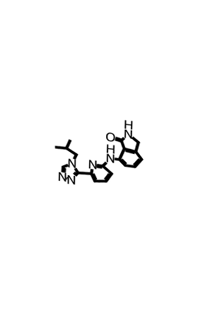 CC(C)Cn1cnnc1-c1cccc(Nc2cccc3c2C(=O)NC3)n1